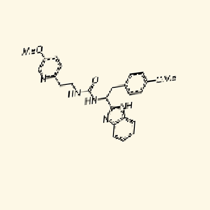 COc1ccc(CC(NC(=O)NCCc2ccc(OC)cn2)c2nc3ccccc3[nH]2)cc1